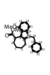 COC(=O)C1CCCCc2c1c1c(OC)cccc1n2Cc1ccccc1